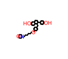 Oc1ccc(-c2ccc3cc(O)ccc3c2Cc2ccc(OCCCCCCN3CCOCC3)cc2)cc1